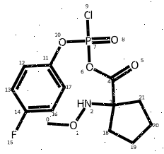 CONC1(C(=O)OP(=O)(Cl)Oc2ccc(F)cc2)CCCC1